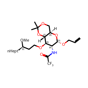 C=CCO[C@H]1O[C@@H]2COC(C)(C)O[C@H]2[C@H](OCC[C@@H](CCCCCCC)OC)[C@H]1NC(=O)C(F)(F)F